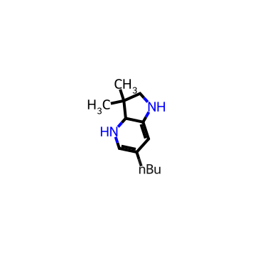 CCCCC1=CNC2C(=C1)NCC2(C)C